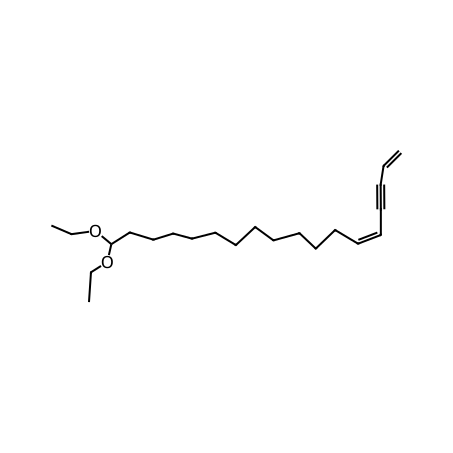 C=CC#C/C=C\CCCCCCCCCCCC(OCC)OCC